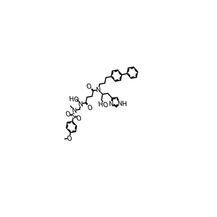 COc1ccc(S(=O)(=O)N(C)CN(O)C(=O)CCC(=O)N(CCCc2ccc(-c3ccccc3)cc2)C(CO)Cc2c[nH]cn2)cc1